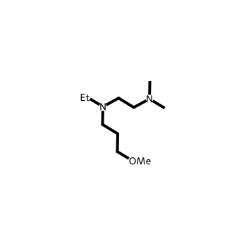 CCN(CCCOC)CCN(C)C